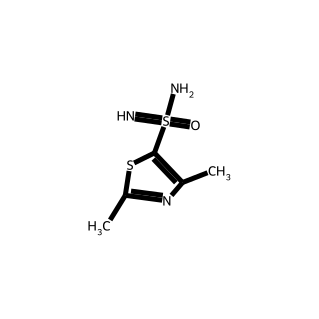 Cc1nc(C)c(S(=N)(N)=O)s1